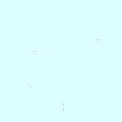 COc1cc[nH]c1C=C1C(=O)Nc2cccc(C#CC(O)c3sccc3OC)c21